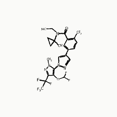 Cn1nc(C(F)(F)C(F)(F)F)c(OC(F)F)c1-n1cc(-c2ccc(C(F)(F)F)c(C(=O)N(CC#N)C3(C#N)CC3)c2)cn1